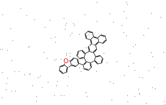 c1ccc2c(c1)-c1cc3c4ccccc4c4ccccc4c3cc1-c1ccccc1-c1c(-c3ccc4oc5ccccc5c4c3)cccc1-2